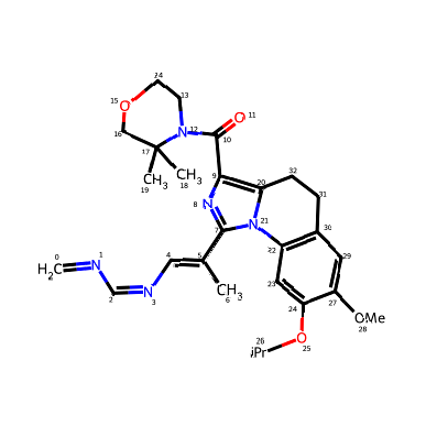 C=N/C=N\C=C(/C)c1nc(C(=O)N2CCOCC2(C)C)c2n1-c1cc(OC(C)C)c(OC)cc1CC2